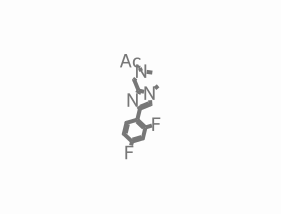 CC(=O)N(C)Cc1nc(-c2ccc(F)cc2F)cn1C